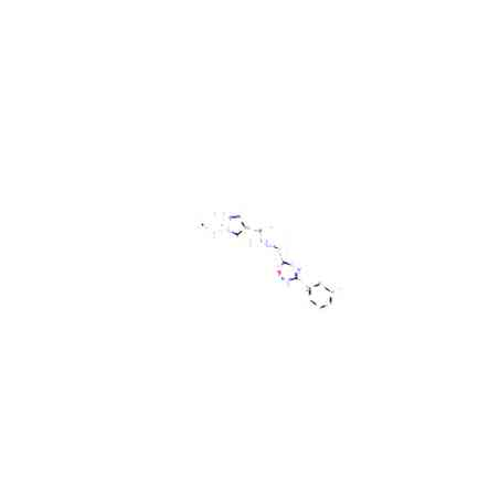 Cc1nn(CC(F)(F)F)cc1C(=O)N[C@@H](C)c1nc(-c2cccc(F)c2)no1